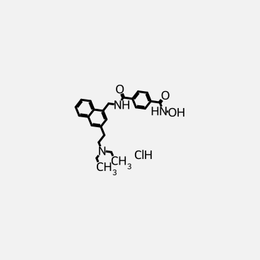 CCN(CC)CCc1cc(CNC(=O)c2ccc(C(=O)NO)cc2)c2ccccc2c1.Cl